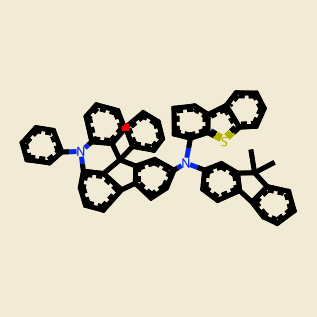 CC1(C)c2ccccc2-c2ccc(N(c3ccc4c(c3)C3(c5ccccc5)c5ccccc5N(c5ccccc5)c5cccc-4c53)c3cccc4c3sc3ccccc34)cc21